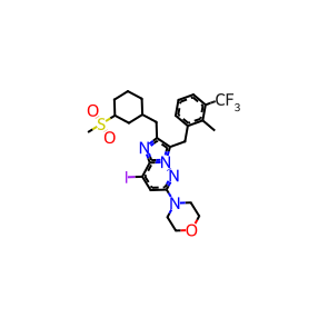 Cc1c(Cc2c(CC3CCCC(S(C)(=O)=O)C3)nc3c(I)cc(N4CCOCC4)nn23)cccc1C(F)(F)F